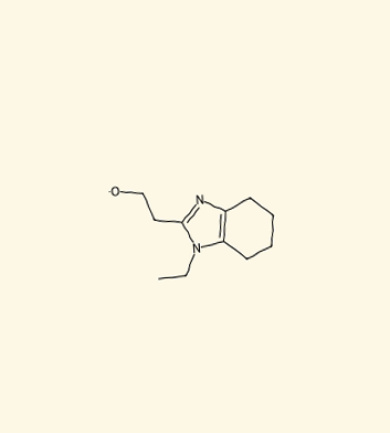 CCn1c(CC[O])nc2c1CCCC2